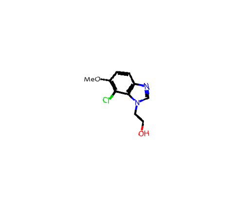 COc1ccc2ncn(CCO)c2c1Cl